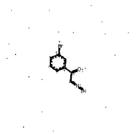 [N-]=[N+]=CC(=O)c1cccc(Br)c1